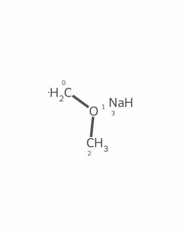 [CH2]OC.[NaH]